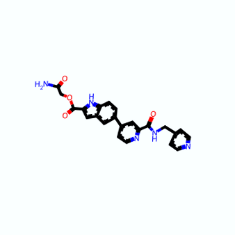 NC(=O)COC(=O)c1cc2cc(-c3ccnc(C(=O)NCc4ccncc4)c3)ccc2[nH]1